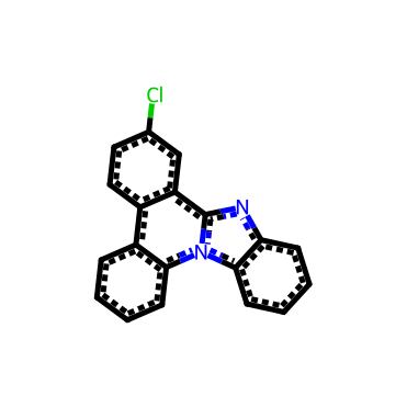 Clc1ccc2c3ccccc3n3c4ccccc4nc3c2c1